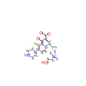 CCC1C=C(C(=O)[O-])C(=O)N2C(F)=C(N3CCNCC3)C=CC12.C[N+](C)(C)CCO